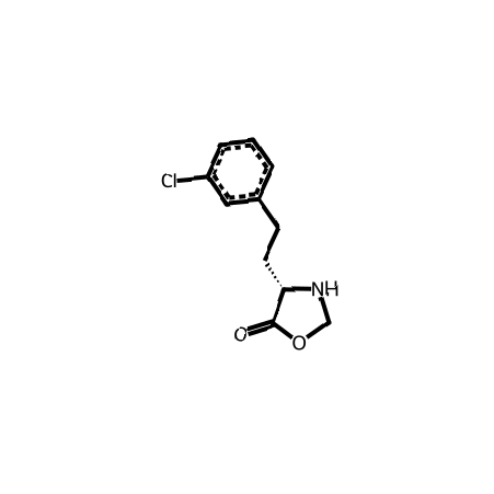 O=C1OCN[C@H]1CCc1cccc(Cl)c1